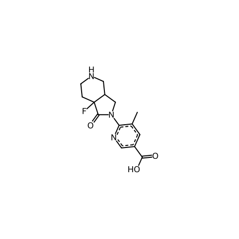 Cc1cc(C(=O)O)cnc1N1CC2CNCCC2(F)C1=O